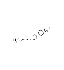 CCCCCC[C@H]1CC[C@H](c2ccc(OC(F)F)cc2)CC1